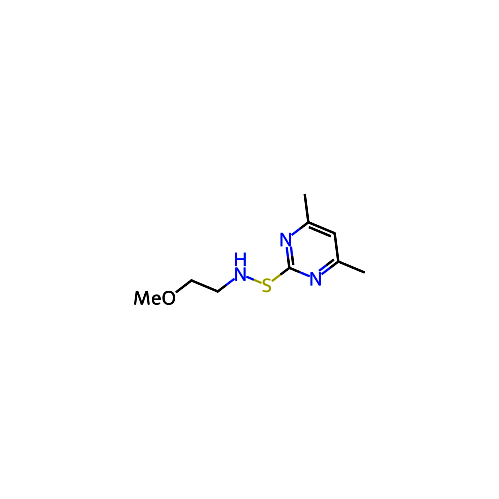 COCCNSc1nc(C)cc(C)n1